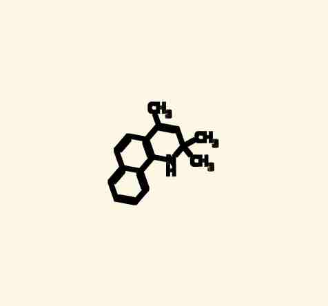 CC1=CC(C)(C)Nc2c1ccc1ccccc21